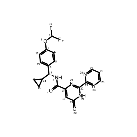 O=C(N[C@@H](c1ccc(OC(F)F)cc1)C1CC1)c1cc(=O)[nH]c(-c2ncccn2)n1